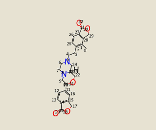 Cc1c(CCN2CCN3C[C@@H](c4ccc5c(c4)COC5=O)OC[C@@H]3C2)ccc2c1COC2=O